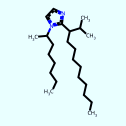 CCCCCCCCCC(c1nccn1C(C)CCCCCC)C(C)C